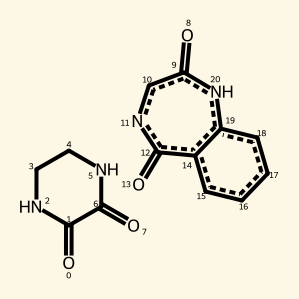 O=C1NCCNC1=O.O=c1cnc(=O)c2ccccc2[nH]1